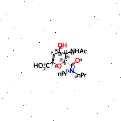 CCCN(CCC)C(=O)[C@@H]1OC(C(=O)O)=C[C@@H](O)[C@H]1NC(C)=O